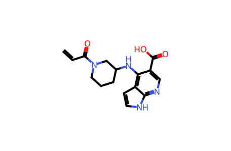 C=CC(=O)N1CCCC(Nc2c(C(=O)O)cnc3[nH]ccc23)C1